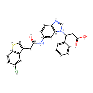 O=C(O)CC(c1ccccc1)n1cnc2ccc(NC(=O)Cc3csc4ccc(Cl)cc34)cc21